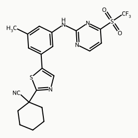 Cc1cc(Nc2nccc(S(=O)(=O)C(F)(F)F)n2)cc(-c2cnc(C3(C#N)CCCCC3)s2)c1